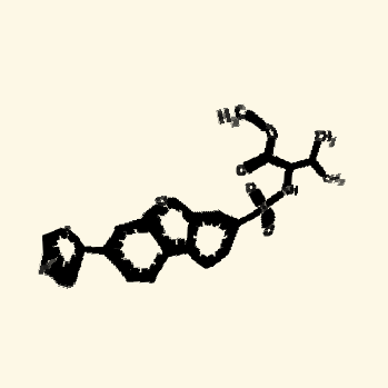 COC(=O)C(NS(=O)(=O)c1ccc2c(c1)oc1cc(-c3cncs3)ccc12)C(C)C